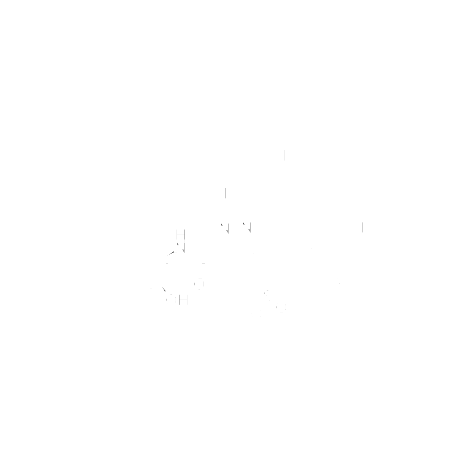 O=C(N[C@@H]1c2ccccc2C[C@@H]1O)c1nn(-c2ccc(F)cc2F)c2c1CS(=O)(=O)CC2Cc1cccc(F)c1